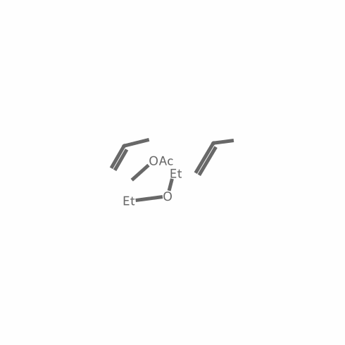 C=CC.C=CC.CCOCC.COC(C)=O